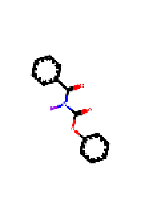 O=C(Oc1ccccc1)N(I)C(=O)c1ccccc1